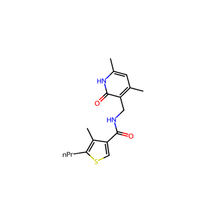 CCCc1scc(C(=O)NCc2c(C)cc(C)[nH]c2=O)c1C